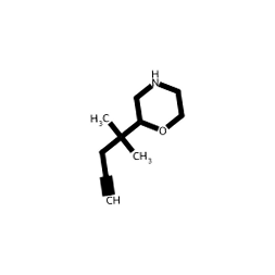 C#C[CH]C(C)(C)C1CNCCO1